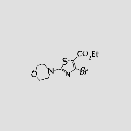 CCOC(=O)c1sc(N2CCOCC2)nc1Br